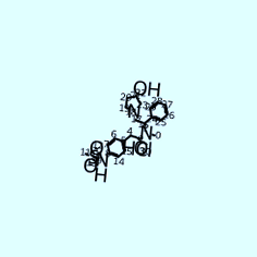 CN(C(=O)Cc1ccc(NS(C)(=O)=O)cc1)C(CN1CCC(O)C1)c1ccccc1.Cl